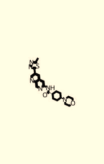 Cc1nnc(-c2cnc3cnc(NC(=O)[C@H]4CC[C@H](N5CCOCC5)CC4)cc3c2)s1